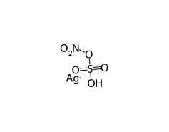 O=[N+]([O-])OS(=O)(=O)O.[Ag]